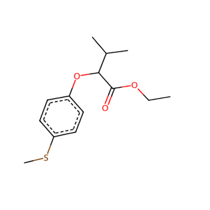 CCOC(=O)C(Oc1ccc(SC)cc1)C(C)C